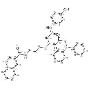 O=C(Nc1ccc(O)cc1)NC(CCCCNC(=O)c1ccc2ccccc2c1)C(=O)NCC(c1ccccc1)c1ccccc1